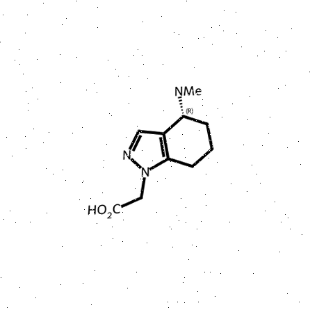 CN[C@@H]1CCCc2c1cnn2CC(=O)O